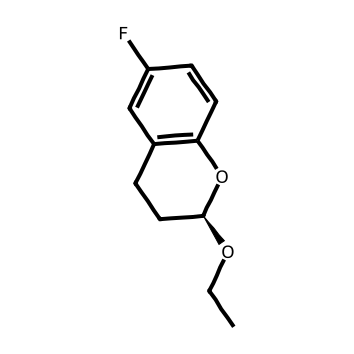 CCO[C@H]1CCc2cc(F)ccc2O1